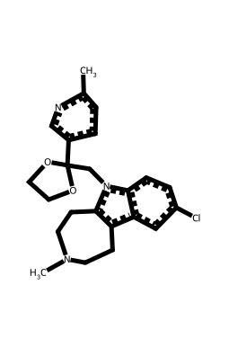 Cc1ccc(C2(Cn3c4c(c5cc(Cl)ccc53)CCN(C)CC4)OCCO2)cn1